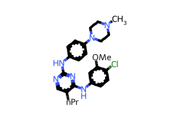 CCCc1cnc(Nc2ccc(N3CCN(C)CC3)cc2)nc1Nc1ccc(Cl)c(OC)c1